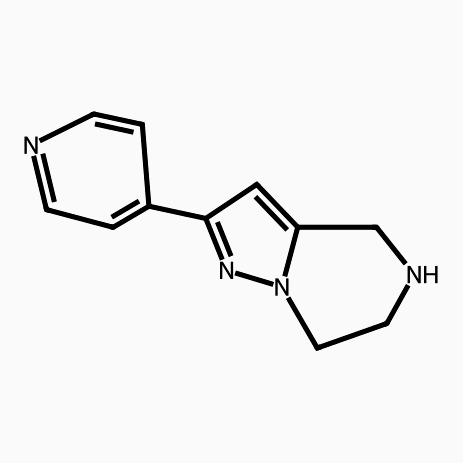 c1cc(-c2cc3n(n2)CCNC3)ccn1